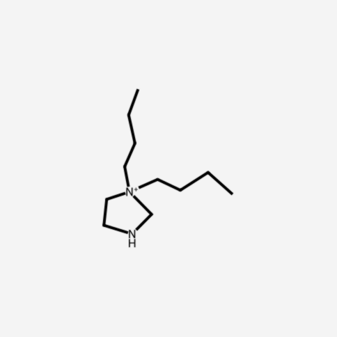 CCCC[N+]1(CCCC)CCNC1